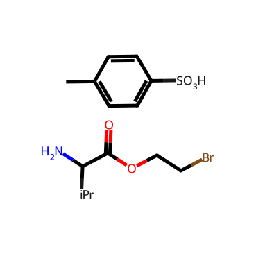 CC(C)C(N)C(=O)OCCBr.Cc1ccc(S(=O)(=O)O)cc1